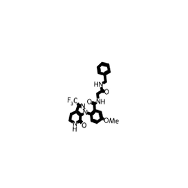 COc1ccc(-n2nc(C(F)(F)F)c3c2C(=O)NCC3)c(C(=O)NCC(=O)NCc2ccccc2)c1